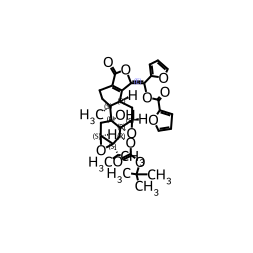 CC(C)[C@]12O[C@H]1C[C@]1(O)[C@]3(O[C@H]3C[C@H]3C4=C(CC[C@@]31C)C(=O)O/C4=C(/OC(=O)c1ccco1)c1ccco1)[C@@H]2OC(=O)OC(C)(C)C